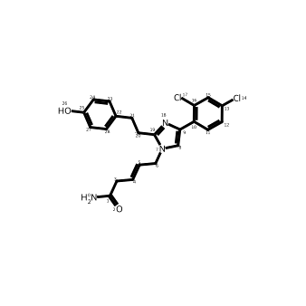 NC(=O)CC=CCn1cc(-c2ccc(Cl)cc2Cl)nc1[CH]Cc1ccc(O)cc1